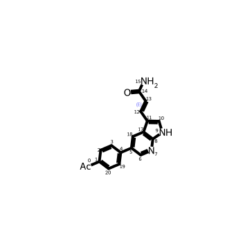 CC(=O)c1ccc(-c2cnc3[nH]cc(/C=C/C(N)=O)c3c2)cc1